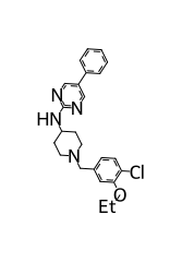 CCOc1cc(CN2CCC(Nc3ncc(-c4ccccc4)cn3)CC2)ccc1Cl